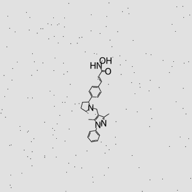 Cc1nn(-c2ccccc2)c(C)c1CN1CCCC1c1ccc(C=CC(=O)NO)cc1